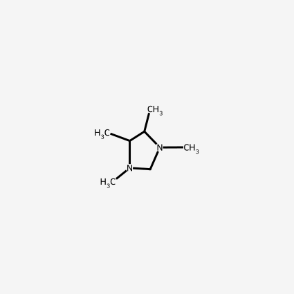 CC1C(C)N(C)CN1C